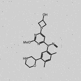 C=NN(c1cc(N2CC(O)C2)nc(OC)n1)c1cc(C2CNCCO2)c(C)cc1C